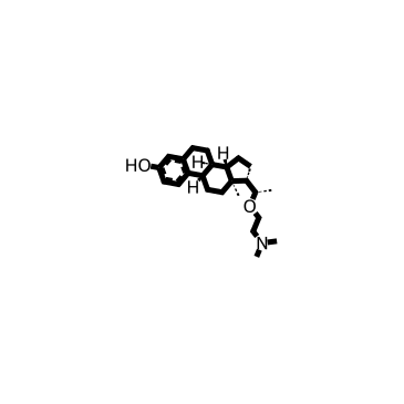 C[C@H](OCCN(C)C)[C@H]1CC[C@H]2[C@@H]3CCc4cc(O)ccc4[C@H]3CC[C@]12C